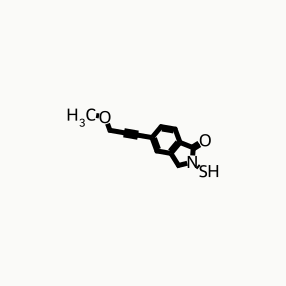 COCC#Cc1ccc2c(c1)CN(S)C2=O